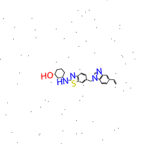 C=Cc1ccc2c(c1)ncn2Cc1ccc2nc(N[C@@H]3CCC[C@@H](O)C3)sc2c1